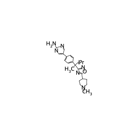 CC(C)C(C)(c1ccc(-c2cnc(N)nc2)cc1)c1noc(C2CCN(C)CC2)n1